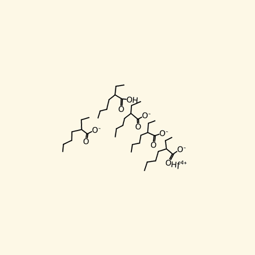 CCCCC(CC)C(=O)O.CCCCC(CC)C(=O)[O-].CCCCC(CC)C(=O)[O-].CCCCC(CC)C(=O)[O-].CCCCC(CC)C(=O)[O-].[Hf+4]